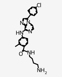 Cc1cc(Nc2nccn3c(-c4ccc(Cl)cc4)cnc23)ccc1C(=O)NCCCCN